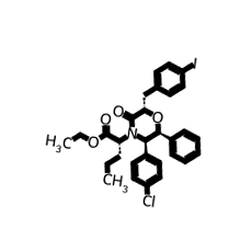 CCC[C@H](C(=O)OCC)N1C(=O)[C@H](Cc2ccc(I)cc2)O[C@@H](c2ccccc2)[C@H]1c1ccc(Cl)cc1